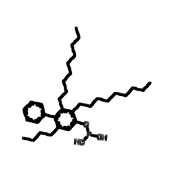 CCCCCCCCCc1c(OP(O)O)cc(CCCC)c(-c2ccccc2)c1CCCCCCCCC